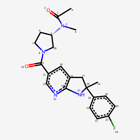 CC(=O)N(C)[C@H]1CCN(C(=O)c2cnc3c(c2)CC(C)(c2ccc(F)cc2)N3)C1